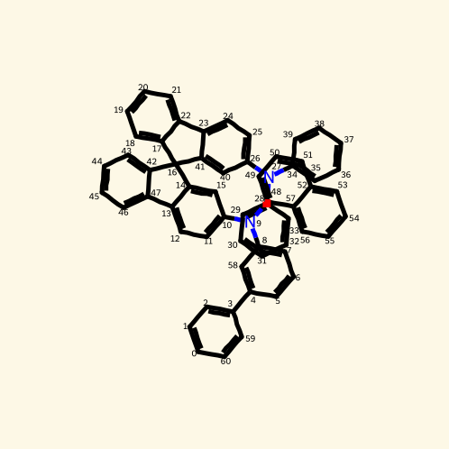 c1ccc(-c2cccc(N(c3ccc4c(c3)C3(c5ccccc5-c5ccc(N(c6ccccc6)c6ccccc6)cc53)c3ccccc3-4)c3cccc4ccccc34)c2)cc1